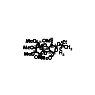 CCC(C)(C)O[C@@H]1O[C@H](COC)[C@@H](O[C@@H]2O[C@H](COC)[C@@H](OC)[C@H](OC)[C@H]2OC)[C@H](OC)[C@H]1OC